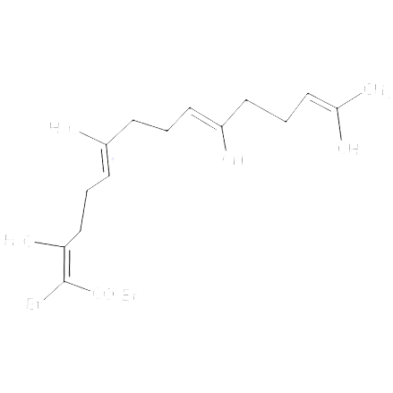 CCOC(=O)/C(CC)=C(/C)CC/C=C(\C)CC/C=C(\C)CCC=C(C)C